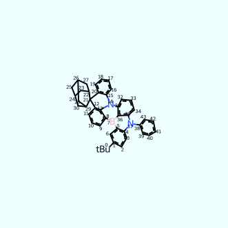 CC(C)(C)c1ccc2c(c1)B1c3cccc4c3N(c3ccccc3C43C4CC5CC(C4)CC3C5)c3cccc(c31)N2c1ccccc1